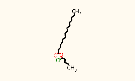 CCCCCCCCCCCCCCCC(=O)OC(Cl)CCCC